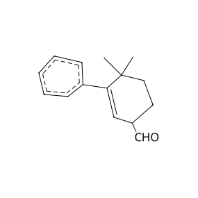 CC1(C)CCC(C=O)C=C1c1ccccc1